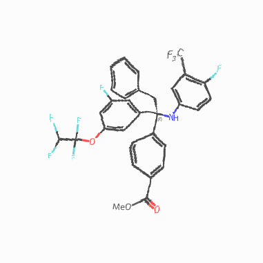 COC(=O)c1ccc([C@@](Cc2ccccc2)(Nc2ccc(F)c(C(F)(F)F)c2)c2cc(F)cc(OC(F)(F)C(F)F)c2)cc1